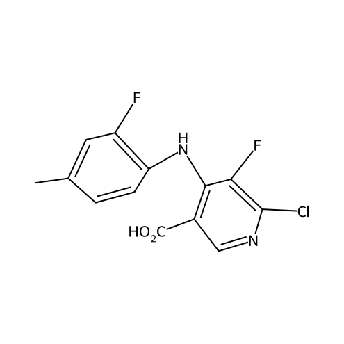 Cc1ccc(Nc2c(C(=O)O)cnc(Cl)c2F)c(F)c1